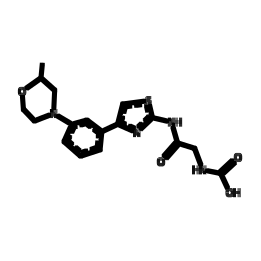 CC1CN(c2cccc(-c3csc(NC(=O)CNC(=O)O)n3)c2)CCO1